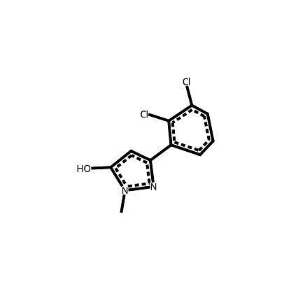 Cn1nc(-c2cccc(Cl)c2Cl)cc1O